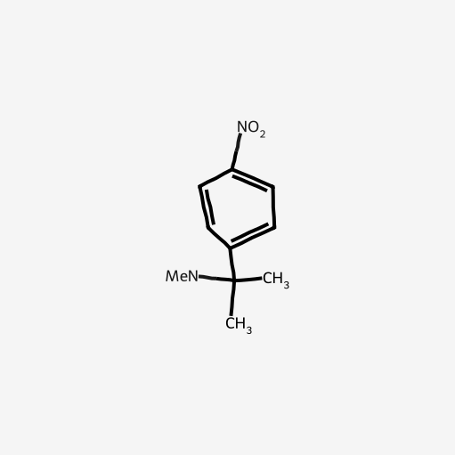 CNC(C)(C)c1ccc([N+](=O)[O-])cc1